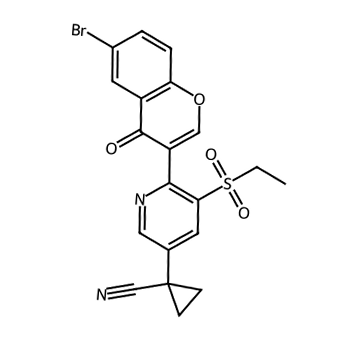 CCS(=O)(=O)c1cc(C2(C#N)CC2)cnc1-c1coc2ccc(Br)cc2c1=O